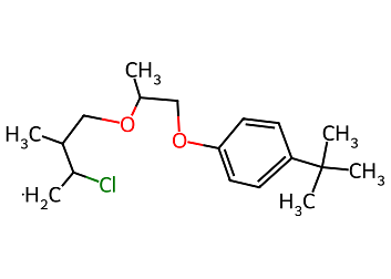 [CH2]C(Cl)C(C)COC(C)COc1ccc(C(C)(C)C)cc1